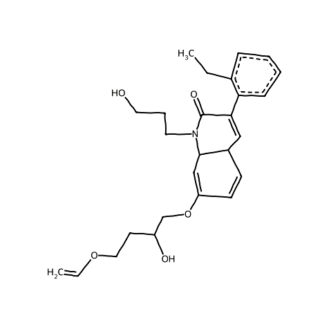 C=COCCC(O)COC1=CC2C(C=C1)C=C(c1ccccc1CC)C(=O)N2CCCO